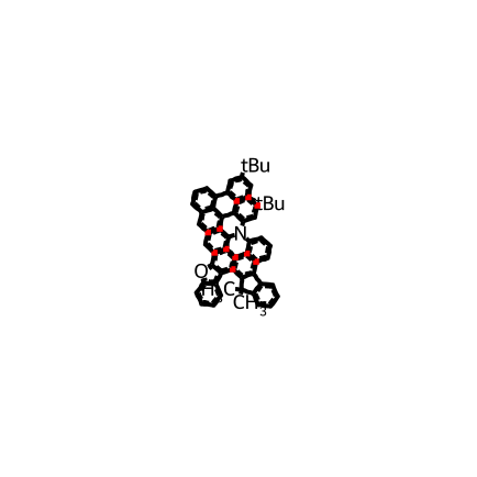 CC(C)(C)c1cc(-c2cccc3cccc(-c4ccccc4N(c4ccccc4-c4ccc5c(c4)C(C)(C)c4ccccc4-5)c4ccccc4-c4ccc5oc6ccccc6c5c4)c23)cc(C(C)(C)C)c1